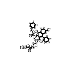 CN(C(=O)OCc1ccccc1)n1c(C(=O)OCCNC(=O)OC(C)(C)C)c(-c2ccccc2)c2cc(Cl)ccc2c1=O